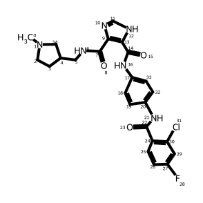 CN1CCC(CNC(=O)c2nc[nH]c2C(=O)Nc2ccc(NC(=O)c3ccc(F)cc3Cl)cc2)C1